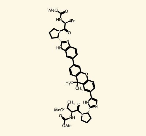 COC(=O)N[C@H](C(=O)N1CCC[C@H]1c1nc2ccc(-c3ccc4c(c3)Oc3ccc(-c5cnc([C@@H]6CCCN6C(=O)[C@@H](NC(=O)OC)[C@@H](C)OC)[nH]5)cc3C4(C)C)cc2[nH]1)C(C)C